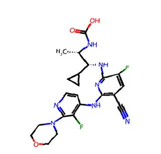 C[C@H](NC(=O)O)[C@H](Nc1nc(Nc2ccnc(N3CCOCC3)c2F)c(C#N)cc1F)C1CC1